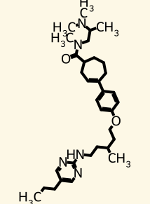 CCCc1cnc(NCCC(C)CCOc2ccc(C3=CCC(C(=O)N(C)CC(C)N(C)C)CCC3)cc2)nc1